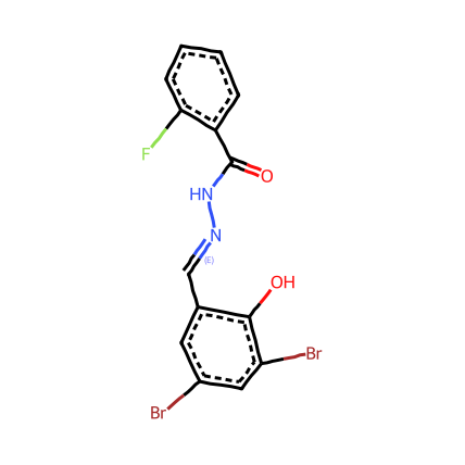 O=C(N/N=C/c1cc(Br)cc(Br)c1O)c1ccccc1F